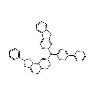 C1=C(N(c2ccc(-c3ccccc3)cc2)c2ccc3c(c2)oc2ccccc23)CCC2CC=c3nc(-c4ccccc4)oc3=C12